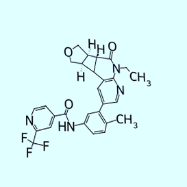 CCN1C(=O)[C@@H]2C(c3cc(-c4cc(NC(=O)c5ccnc(C(F)(F)F)c5)ccc4C)cnc31)[C@H]1COC[C@H]12